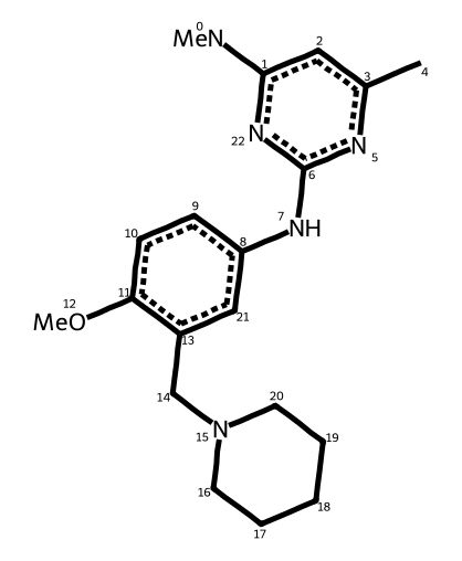 CNc1cc(C)nc(Nc2ccc(OC)c(CN3CCCCC3)c2)n1